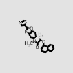 CC(Oc1cccc2ccccc12)C(=O)N(C)c1ccc2oc(-c3cncs3)nc2c1